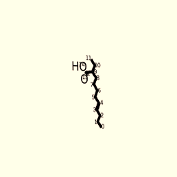 CCC/C=C/CCCCC(CC)C(=O)O